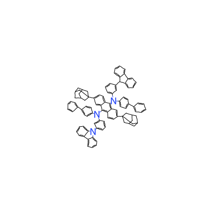 c1ccc(-c2ccc(N(c3cccc(C4c5ccccc5-c5ccccc54)c3)c3c4ccc(C56CC7CC(CC(C7)C5)C6)cc4c(N(c4ccc(-c5ccccc5)cc4)c4cccc(-n5c6ccccc6c6ccccc65)c4)c4ccc(C56CC7CC(CC(C7)C5)C6)cc34)cc2)cc1